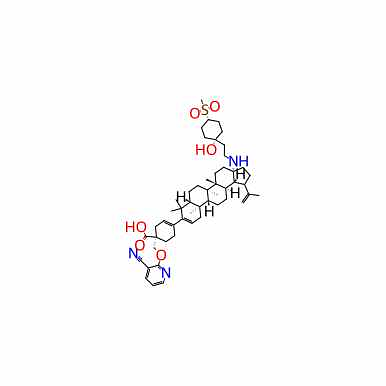 C=C(C)C1CC[C@]2(NCC[C@]3(O)CC[C@@H](S(C)(=O)=O)CC3)CC[C@]3(C)[C@H](CC[C@@H]4[C@@]5(C)CC=C(C6=CC[C@](COc7ncccc7C#N)(C(=O)O)CC6)C(C)(C)[C@@H]5CC[C@]43C)[C@@H]12